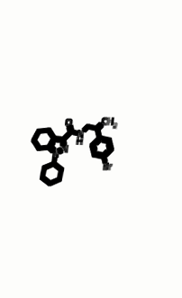 C=C(CNC(=O)c1nn(C2CCCCC2)c2c1CCCC2)c1ccc(Br)cc1